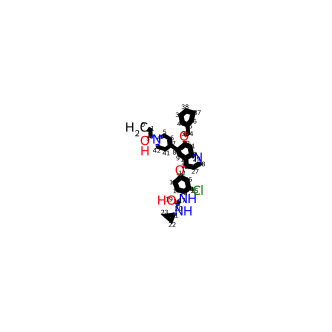 C=CC(O)N1CC=C(c2cc3c(Oc4ccc(NC(O)NC5CC5)c(Cl)c4)ccnc3cc2OCc2ccccc2)CC1